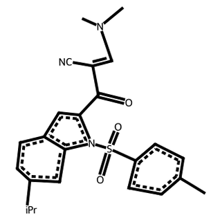 Cc1ccc(S(=O)(=O)n2c(C(=O)C(C#N)=CN(C)C)cc3ccc(C(C)C)cc32)cc1